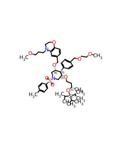 COCCCN1CCOc2ccc(CO[C@H]3CN(S(=O)(=O)c4ccc(C)cc4)C[C@@H](OCC[C@H](C)O[Si](C(C)C)(C(C)C)C(C)C)[C@@H]3c3ccc(COCCOC)cc3)cc21